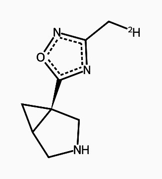 [2H]Cc1noc([C@@]23CNCC2C3)n1